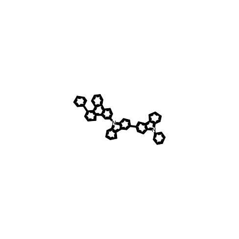 c1ccc(-c2cccc3c4cc(-n5c6ccccc6c6cc(-c7ccc8c(c7)c7ccccc7n8-c7ccccc7)ccc65)ccc4c4ccccc4c23)cc1